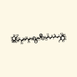 CC1=C(/C=C/C(C)=C/C=C/C(C)=C/COC(=O)/C=C/C(=O)OC/C=C(C)/C=C/C=C(C)/C=C/C2=C(C)CCCC2(C)C)C(C)(C)CCC1